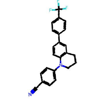 N#Cc1ccc(N2CCCc3cc(-c4ccc(C(F)(F)F)cc4)ccc32)cc1